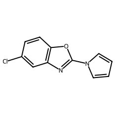 Clc1ccc2oc(-n3cccc3)nc2c1